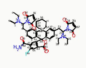 CCN(CC)C(Cc1ccc2c(c1)[Si]1(CCCCC1)c1cc(CC(N(CC)CC)N3C(=O)C=CC3=O)ccc1C21OC(=O)c2cc(F)c(C(N)=O)cc21)N1C(=O)C=CC1=O